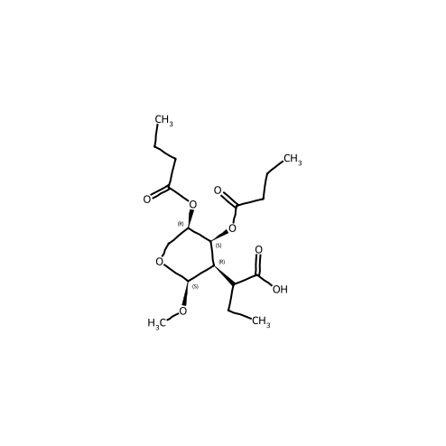 CCCC(=O)O[C@H]1[C@@H](C(CC)C(=O)O)[C@@H](OC)OC[C@H]1OC(=O)CCC